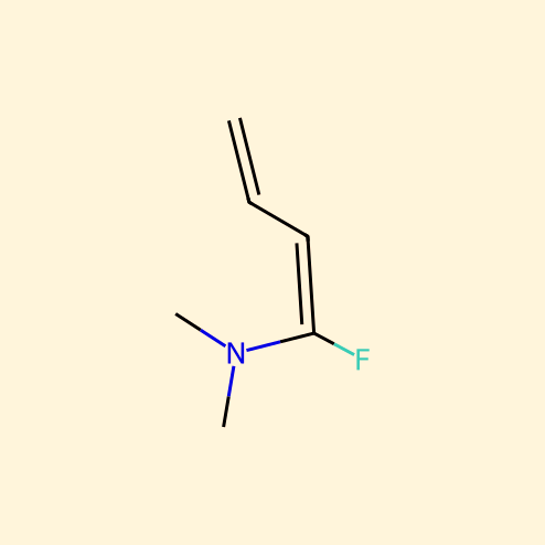 C=C/C=C(/F)N(C)C